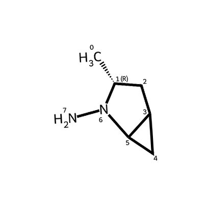 C[C@@H]1CC2CC2N1N